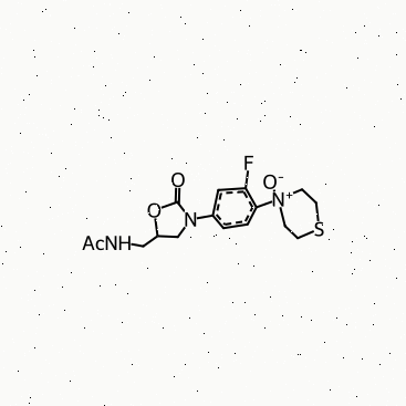 CC(=O)NCC1CN(c2ccc([N+]3([O-])CCSCC3)c(F)c2)C(=O)O1